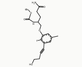 Cc1cc(C#CCCO)c(F)c(OCC(CCC(N)=O)NC(=O)OC(C)(C)C)c1